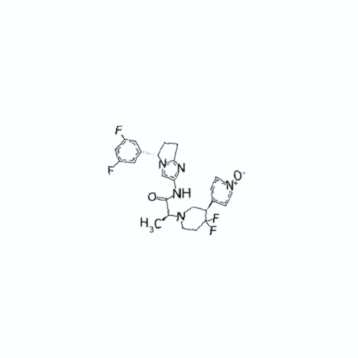 C[C@@H](C(=O)Nc1cn2c(n1)CC[C@H]2c1cc(F)cc(F)c1)N1CCC(F)(F)[C@H](c2cc[n+]([O-])cc2)C1